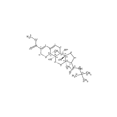 COC(=O)C1=CC2=CC[C@@H]3[C@@H](CC[C@]4(C)C(C(=O)NC(C)(C)C)CC[C@@H]34)[C@@]2(C)CC1